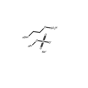 CCCCCCCCCCCCOS(=O)(=O)O.CCCOS(=O)(=O)[O-].[Na+]